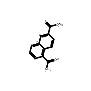 COC(=O)c1ccc2c(C(N)=O)cccc2c1